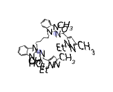 CCn1nc(C)cc1C(=O)/N=c1\n(C)c2ccccc2n1CCCCn1/c(=N/C(O)c2cc(C)nn2CC)n(C)c2ccccc21